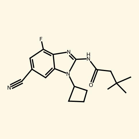 CC(C)(C)CC(=O)Nc1nc2c(F)cc(C#N)cc2n1C1CCC1